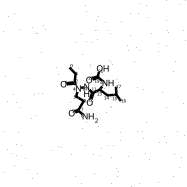 CCC(=O)N(CCC(N)=O)NC(=O)C(CC(C)C)NC(=O)O